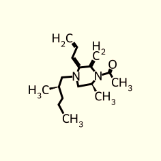 C=C/C=C1\C(=C)N(C(C)=O)[C@@H](C)CN1C[C@H](C)CCC